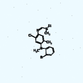 CCN(C)/C=N\c1cc(C)c(N(C)c2ccccc2Br)cc1Cl